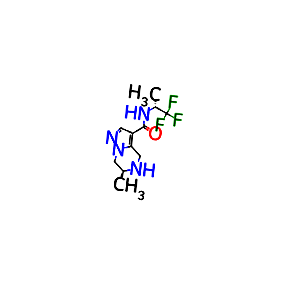 C[C@H]1Cn2ncc(C(=O)N[C@H](C)C(F)(F)F)c2CN1